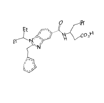 CCC(CC)n1c(Cc2ccccc2)nc2cc(C(=O)NC(CC(=O)O)CC(C)C)ccc21